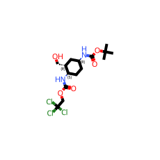 CC(C)(C)OC(=O)N[C@@H]1CC[C@H](NC(=O)OCC(Cl)(Cl)Cl)[C@H](CO)C1